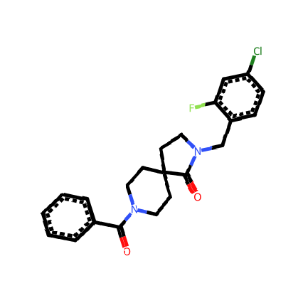 O=C(c1ccccc1)N1CCC2(CC1)CCN(Cc1ccc(Cl)cc1F)C2=O